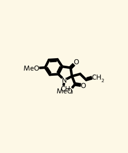 C=CCC1(C(=O)OC)C(=O)c2ccc(OC)cc2N1C